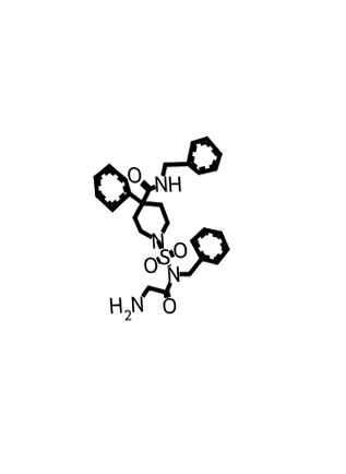 NCC(=O)N(Cc1ccccc1)S(=O)(=O)N1CCC(C(=O)NCc2ccccc2)(c2ccccc2)CC1